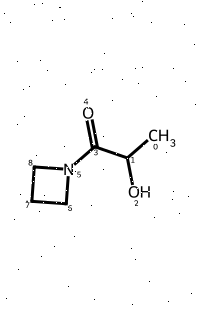 CC(O)C(=O)N1C[CH]C1